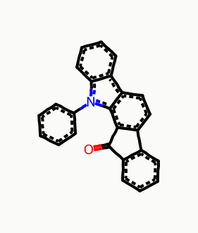 O=C1c2ccccc2-c2ccc3c4ccccc4n(-c4ccccc4)c3c21